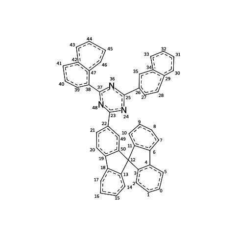 c1ccc2c(c1)-c1ccccc1C21c2ccccc2-c2ccc(-c3nc(-c4ccc5ccccc5c4)nc(-c4cccc5ccccc45)n3)cc21